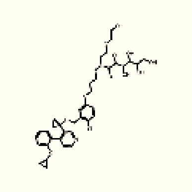 O=C(C(O)C(O)C(O)C(O)CO)N(CCCCSc1ccc(Cl)c(COC2(c3cnccc3-c3ccccc3OC3CC3)CC2)c1)CCOCCO